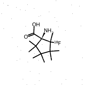 CC1(C)C(C)(C)C(C)([18F])[C@@](N)(C(=O)O)C1(C)C